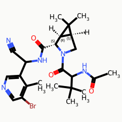 CC(=O)NC(C(=O)N1C[C@H]2[C@@H]([C@H]1C(=O)NC(C#N)c1cncc(Br)c1C)C2(C)C)C(C)(C)C